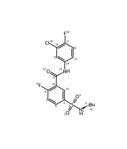 CC[C@H](C)NS(=O)(=O)c1ccc(F)c(C(=O)Nc2ccc(F)c(Cl)c2)c1